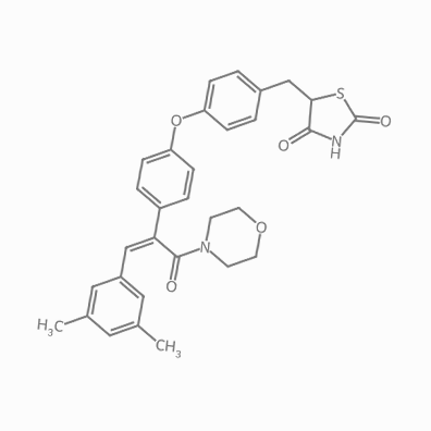 Cc1cc(C)cc(C=C(C(=O)N2CCOCC2)c2ccc(Oc3ccc(CC4SC(=O)NC4=O)cc3)cc2)c1